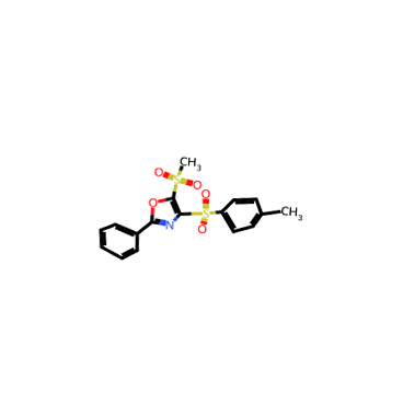 Cc1ccc(S(=O)(=O)c2nc(-c3ccccc3)oc2S(C)(=O)=O)cc1